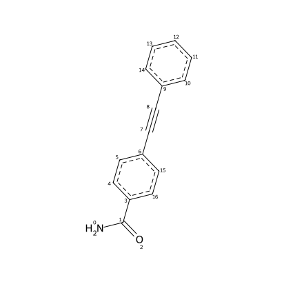 NC(=O)c1ccc(C#Cc2ccccc2)cc1